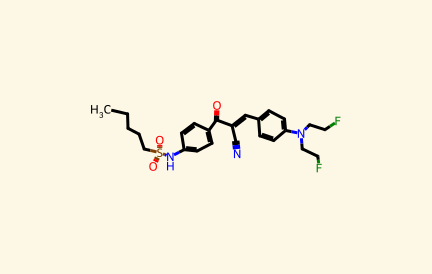 CCCCCS(=O)(=O)Nc1ccc(C(=O)C(C#N)=Cc2ccc(N(CCF)CCF)cc2)cc1